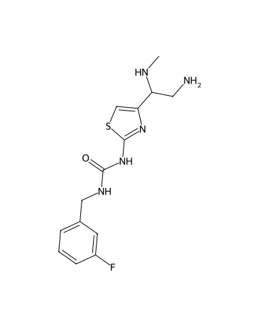 CNC(CN)c1csc(NC(=O)NCc2cccc(F)c2)n1